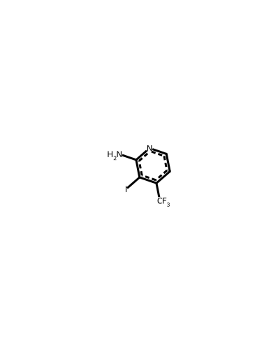 Nc1nccc(C(F)(F)F)c1I